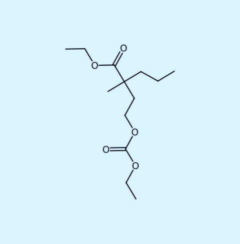 CCCC(C)(CCOC(=O)OCC)C(=O)OCC